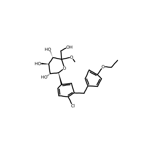 CCOc1ccc(Cc2cc([C@@H]3OC(CO)(OC)[C@@H](O)[C@H](O)[C@H]3O)ccc2Cl)cc1